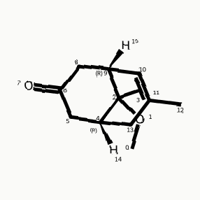 COC1(C)[C@H]2CC(=O)C[C@@H]1C=C(C)C2